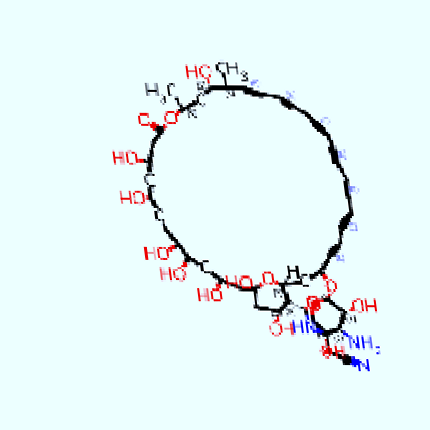 C[C@H]1C[C@H](O)[C@@H](C)/C=C/C=C/C=C/C=C/C=C/C=C/C=C/C(O[C@@H]2OC[C@@H](O)[C@H](N)[C@H]2O)C[C@@H]2OC(O)(CC(O)CC(O)C(O)CCC(O)CC(O)CC(=O)O1)C[C@H](O)[C@H]2C(=O)NCCC#N